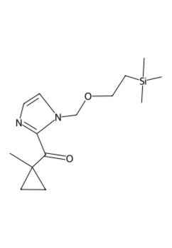 CC1(C(=O)c2nccn2COCC[Si](C)(C)C)CC1